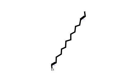 [CH2]/C=C/CCCCCCCCCC/C=C/CC